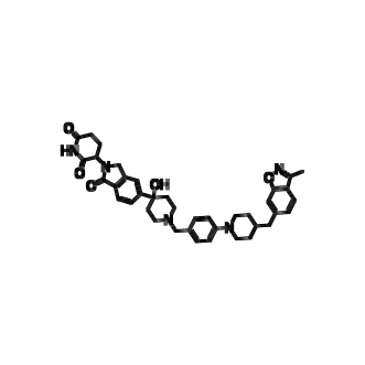 Cc1noc2cc(CC3CCN(c4ccc(CN5CCC(O)(c6ccc7c(c6)CN(C6CCC(=O)NC6=O)C7=O)CC5)cc4)CC3)ccc12